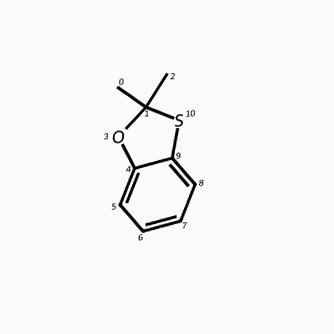 CC1(C)Oc2ccccc2S1